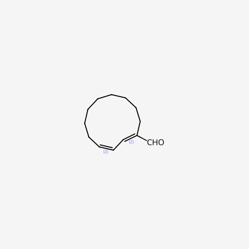 O=C/C1=C\C=C/CCCCCCCC1